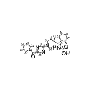 O=C(O)NC1c2ccccc2CC12CCN(c1cnc(C(=O)c3ccccc3)cn1)CC2